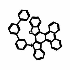 c1ccc(-c2cccc(-c3cccc(-n4c5ccccc5c5c6c7ccccc7c7ccccc7c6c6c7ccccc7oc6c54)c3)c2)cc1